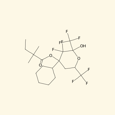 CCC(C)(C)C(=O)OC1(C2CCCCC2)CC(C(F)(F)F)OC(O)(C(F)(F)F)C1(F)F